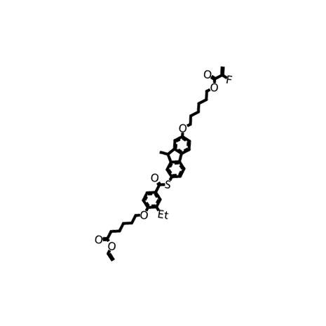 C=COC(=O)CCCCCOc1ccc(C(=O)Sc2ccc3c(c2)C(C)c2cc(OCCCCCCOC(=O)C(=C)F)ccc2-3)cc1CC